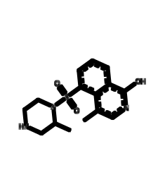 Cc1cnc(O)c2cccc(S(=O)(=O)N3CCNCC3C)c12